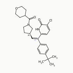 CC(C)(C)c1ccc(/C(=C/[C@H]2CCN(C(=O)C3CCOCC3)C2)c2ccc(Cl)c(=O)[nH]2)cc1